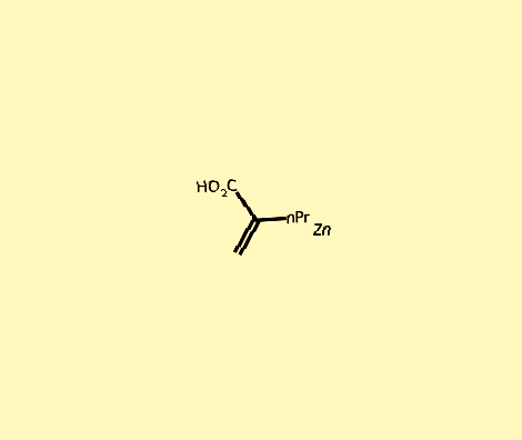 C=C(CCC)C(=O)O.[Zn]